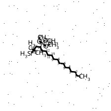 CCCCCCCCCCCCCCC(CC(C)(C)[SiH3])[N+](OC)(OC)OC